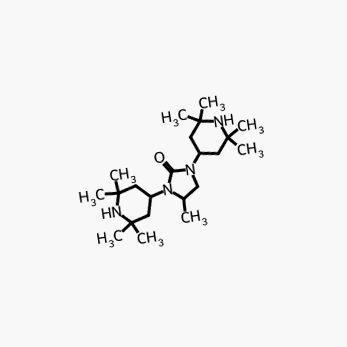 CC1CN(C2CC(C)(C)NC(C)(C)C2)C(=O)N1C1CC(C)(C)NC(C)(C)C1